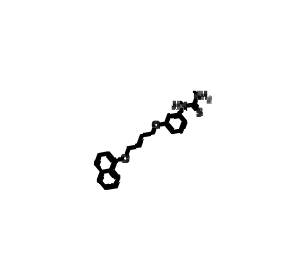 NC(=S)Nc1cccc(OCCCCOc2cccc3ccccc23)c1